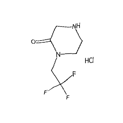 Cl.O=C1CNCCN1CC(F)(F)F